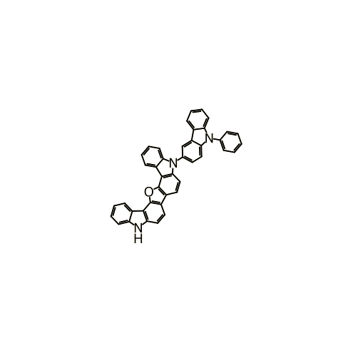 c1ccc(-n2c3ccccc3c3cc(-n4c5ccccc5c5c6oc7c(ccc8[nH]c9ccccc9c87)c6ccc54)ccc32)cc1